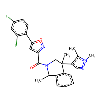 Cc1c(C2(C)CN(C(=O)c3cc(-c4ccc(F)cc4F)on3)C(C)c3ccccc32)cnn1C